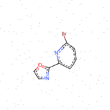 Brc1cccc(-c2ncco2)n1